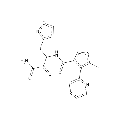 Cc1ncc(C(=O)NC(Cc2ccon2)C(=O)C(N)=O)n1-c1ccccn1